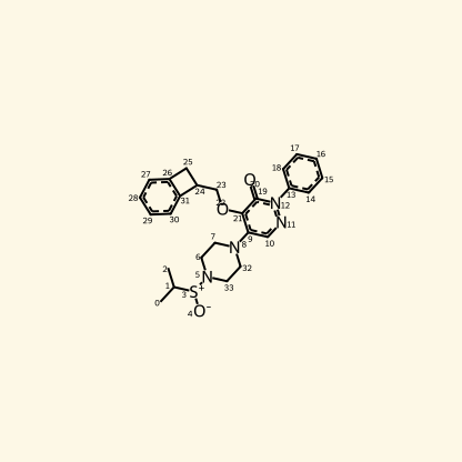 CC(C)[S+]([O-])N1CCN(c2cnn(-c3ccccc3)c(=O)c2OCC2Cc3ccccc32)CC1